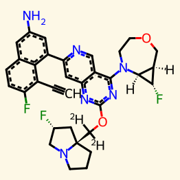 [2H]C([2H])(Oc1nc(N2CCOC[C@H]3[C@H](F)[C@H]32)c2cnc(-c3cc(N)cc4ccc(F)c(C#C)c34)cc2n1)[C@@]12CCCN1C[C@H](F)C2